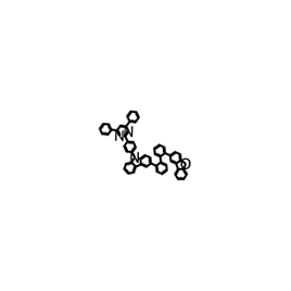 c1ccc(-c2cc(-c3ccccc3)nc(-c3ccc(-n4c5ccccc5c5cc(-c6ccccc6-c6ccccc6-c6ccc7oc8ccccc8c7c6)ccc54)cc3)n2)cc1